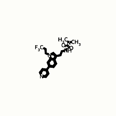 CN(C)S(=O)(=O)NCCc1cn(CCC(F)(F)F)c2cc(-c3ccncc3)ccc12